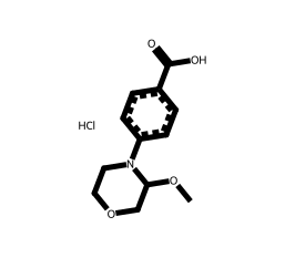 COC1COCCN1c1ccc(C(=O)O)cc1.Cl